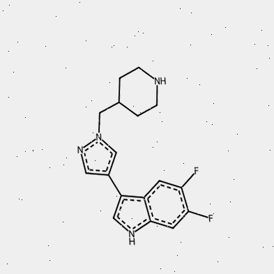 Fc1cc2[nH]cc(-c3cnn(CC4CCNCC4)c3)c2cc1F